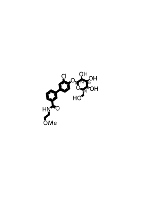 COCCNC(=O)c1cccc(-c2ccc(O[C@H]3O[C@H](CO)[C@@H](O)[C@H](O)[C@@H]3O)c(Cl)c2)c1